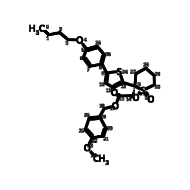 CCCCOc1ccc(-c2ccc([C@@]3(CC(=O)OCc4ccc(OC)cc4)CCCCS3(=O)=O)s2)cc1